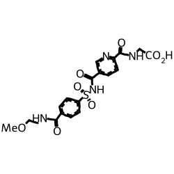 COCCNC(=O)c1ccc(S(=O)(=O)NC(=O)c2ccc(C(=O)NCC(=O)O)nc2)cc1